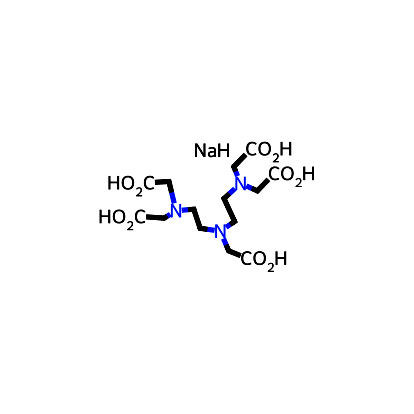 O=C(O)CN(CCN(CC(=O)O)CC(=O)O)CCN(CC(=O)O)CC(=O)O.[NaH]